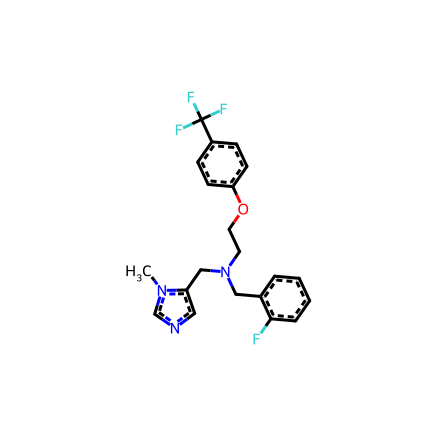 Cn1cncc1CN(CCOc1ccc(C(F)(F)F)cc1)Cc1ccccc1F